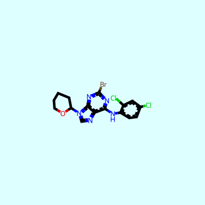 Clc1ccc(Nc2nc(Br)nc3c2ncn3C2CCCCO2)c(Cl)c1